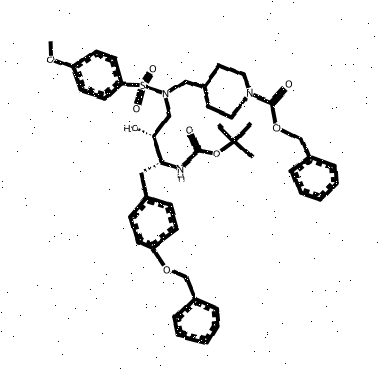 COc1ccc(S(=O)(=O)N(CC2CCN(C(=O)OCc3ccccc3)CC2)C[C@@H](O)[C@@H](Cc2ccc(OCc3ccccc3)cc2)NC(=O)OC(C)(C)C)cc1